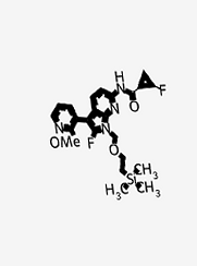 COc1ncccc1-c1c(F)n(COCC[Si](C)(C)C)c2nc(NC(=O)[C@@H]3C[C@@H]3F)ccc12